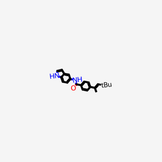 CC(=CC(C)(C)C)c1ccc(C(=O)Nc2ccc3[nH]ccc3c2)cc1